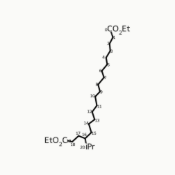 CCOC(=O)CCCCCCCCCCCCCCCC(CCC(=O)OCC)C(C)C